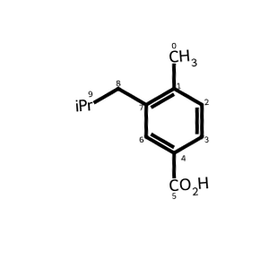 Cc1ccc(C(=O)O)cc1CC(C)C